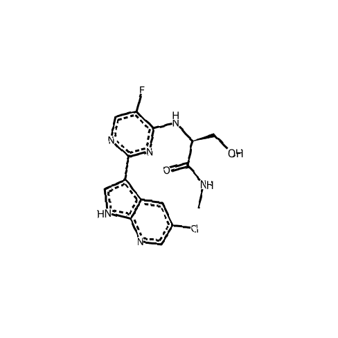 CNC(=O)[C@H](CO)Nc1nc(-c2c[nH]c3ncc(Cl)cc23)ncc1F